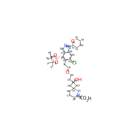 CC1(C)OB(c2c(CCOCCC3(O)CC4(CCCN(C(=O)O)C4)C3)c(Cl)cc3c2cnn3C2CCCCO2)OC1(C)C